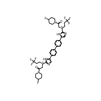 O=C(C[C@@H](CCC(F)(F)F)c1ncc(-c2ccc(-c3ccc(-c4cnc([C@H](CCC(F)(F)F)CC(=O)N5CCC(F)CC5)[nH]4)cc3)cc2)[nH]1)N1CCC(F)CC1